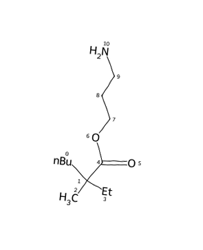 CCCCC(C)(CC)C(=O)OCCCN